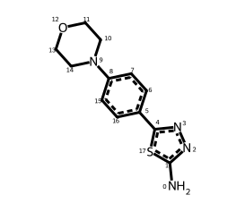 Nc1nnc(-c2ccc(N3CCOCC3)cc2)s1